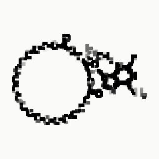 CO[C@]1(C)COC(=O)CCCCCCCCCCCCCCCCCCC(=O)O[C@H]1Cn1cnc2c(N)nc(F)nc21